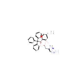 N#Cc1ccc(C(OC(=O)Cc2c[nH]cn2)C(c2ccccc2)(c2ccccc2)c2ccccc2)cc1